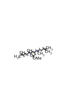 COC(=O)CC(/C=C(\C)CCC=C(C)C)C/C=C(\C)CCC=C(C)C